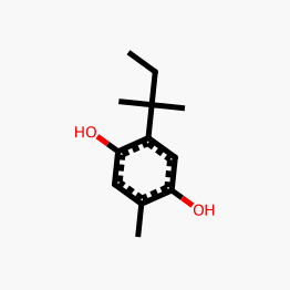 CCC(C)(C)c1cc(O)c(C)cc1O